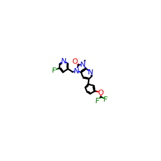 Cn1c(=O)n(Cc2cncc(F)c2)c2cc(-c3cccc(OC(F)F)c3)cnc21